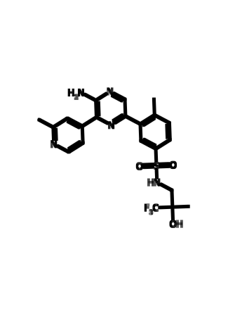 Cc1cc(-c2nc(-c3cc(S(=O)(=O)NCC(C)(O)C(F)(F)F)ccc3C)cnc2N)ccn1